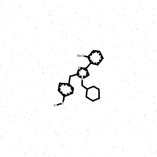 CCOc1ccc(Cc2nc(-c3ccccc3OC)cn2CC2CCCCC2)cc1